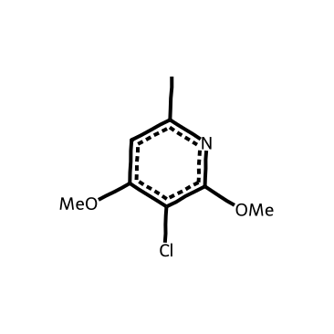 COc1cc(C)nc(OC)c1Cl